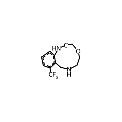 FC(F)(F)c1cccc2c1CNCCOCCN2